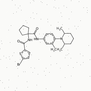 Cc1cc(NC(=O)C2(NC(=O)c3ccc(Br)s3)CCCC2)ccc1N1C(C)CCCC1C